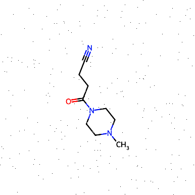 CN1CCN(C(=O)CCC#N)CC1